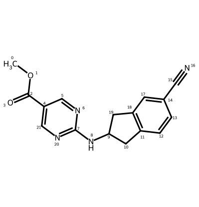 COC(=O)c1cnc(NC2Cc3ccc(C#N)cc3C2)nc1